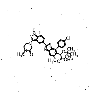 Cc1cc2nc(-c3ccc4c(c3)c(N3CCN(C)C(=O)C3)nn4C)sc2c(-c2ccc(Cl)cc2)c1[C@H](OC(C)(C)C)C(=O)O